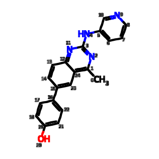 Cc1nc(Nc2cccnc2)nc2ccc(-c3ccc(O)cc3)cc12